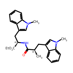 CCOC(=O)[C@@H](Cc1cn(C)c2ccccc12)NC(=O)[C@H](C)Cc1cn(C)c2ccccc12